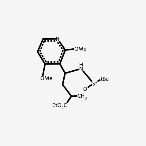 CCOC(=O)C(C)CC(N[S+]([O-])C(C)(C)C)c1c(OC)ccnc1OC